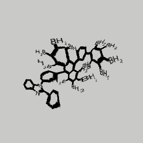 Bc1c(B)c(B)c(-c2cccc(-c3c4c(B)c(B)c(B)c(B)c4c(-c4ccc(-n5c(-c6ccccc6)nc6ccccc65)cc4)c4c(B)c(B)c(B)c(B)c34)c2)c(B)c1B